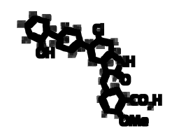 COc1ccc(C=C2C(=O)Nc3cc(Cl)c(-c4ccc(-c5ccccc5O)cc4)cc32)cc1C(=O)O